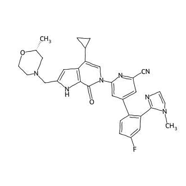 C[C@@H]1CN(Cc2cc3c(C4CC4)cn(-c4cc(-c5ccc(F)cc5-c5nccn5C)cc(C#N)n4)c(=O)c3[nH]2)CCO1